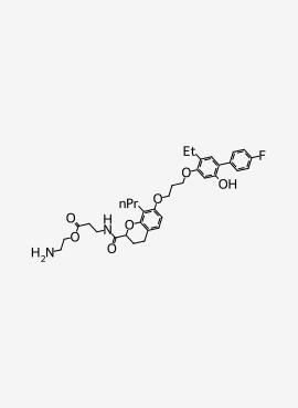 CCCc1c(OCCCOc2cc(O)c(-c3ccc(F)cc3)cc2CC)ccc2c1OC(C(=O)NCCC(=O)OCCN)CC2